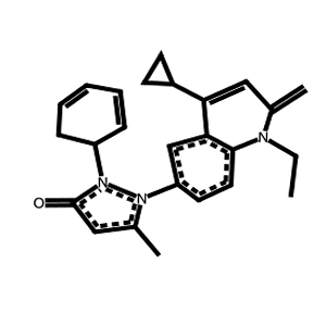 C=C1C=C(C2CC2)c2cc(-n3c(C)cc(=O)n3C3C=CC=CC3)ccc2N1CC